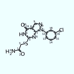 NC(=O)CSc1nc2c(cnn2-c2cccc(Cl)c2)c(=O)[nH]1